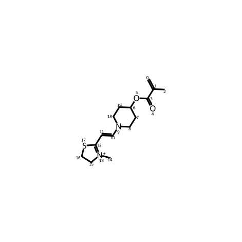 C=C(C)C(=O)OC1CCN(C=CC2=[N+](C)CCS2)CC1